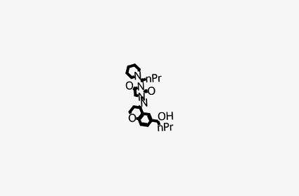 CCCC(O)c1ccc2c(c1)/C(=N/N1CC(=O)N(C(CCC)N3CCCCC3)C1=O)CCO2